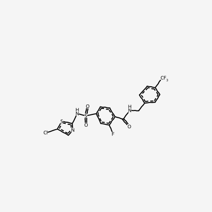 O=C(NCc1ccc(C(F)(F)F)cc1)c1ccc(S(=O)(=O)Nc2ncc(Cl)s2)cc1F